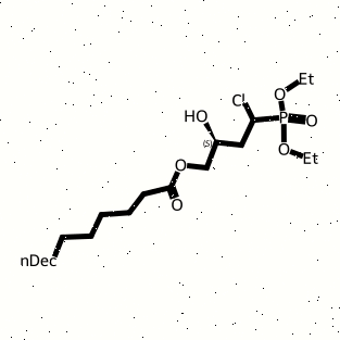 CCCCCCCCCCCCCCCC(=O)OC[C@@H](O)CC(Cl)P(=O)(OCC)OCC